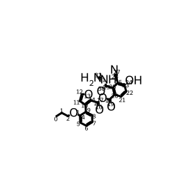 CCCOc1ccccc1-c1ccoc1C(=O)OC(=O)c1ccc(O)c(C#N)c1C(=O)NN